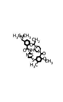 C=CC(=O)N1CCN(C(=O)c2cc(Sc3cnc(NC(=O)c4cccc(CN(C)C)c4)s3)c(C)cc2OC)CC1